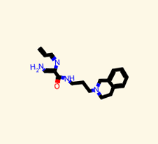 C=C/C=N\C(=C/N)C(=O)NCCCN1CCc2ccccc2C1